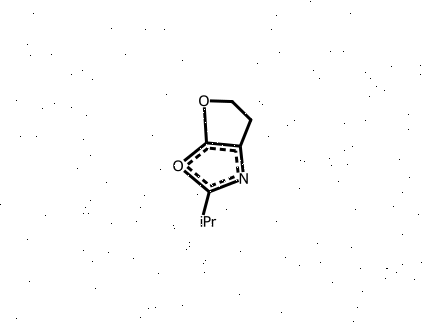 CC(C)c1nc2c(o1)OCC2